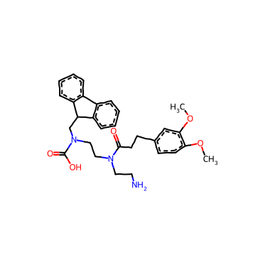 COc1ccc(CCC(=O)N(CCN)CCN(CC2c3ccccc3-c3ccccc32)C(=O)O)cc1OC